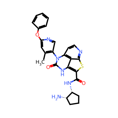 Cc1cc(Oc2ccccc2)ncc1N1C(=O)Nc2c(C(=O)N[C@@H]3CCC[C@@H]3N)sc3nccc1c23